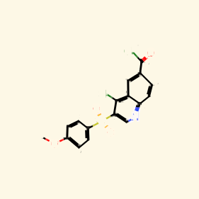 COc1ccc(S(=O)(=O)c2cnc3ccc(C(=O)Cl)cc3c2Cl)cc1